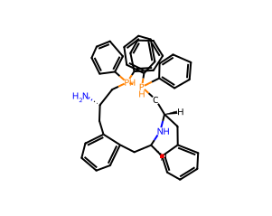 N[C@H]1Cc2ccccc2C[C@H]2N[C@@H](Cc3ccccc32)C[PH](c2ccccc2)(c2ccccc2)[PH](c2ccccc2)(c2ccccc2)C1